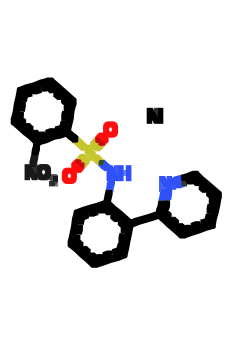 O=[N+]([O-])c1ccccc1S(=O)(=O)Nc1ccccc1-c1ccccn1.[Ni]